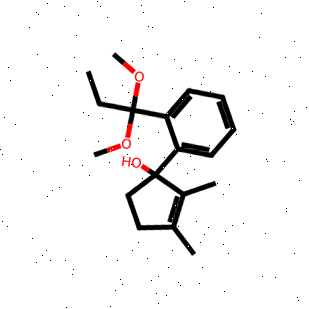 CCC(OC)(OC)c1ccccc1C1(O)CCC(C)=C1C